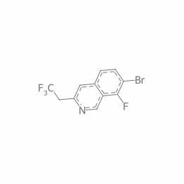 Fc1c(Br)ccc2cc(CC(F)(F)F)ncc12